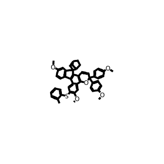 COc1ccc(C2(c3ccc(OC)cc3)C=Cc3c4c(c5cc(Sc6ccccc6C)c(OC)cc5c3O2)-c2ccc(OC)cc2C42CC3CCC2C3)cc1